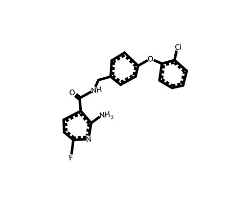 Nc1nc(F)ccc1C(=O)NCc1ccc(Oc2ccccc2Cl)cc1